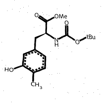 COC(=O)[C@H](Cc1ccc(C)c(O)c1)NC(=O)OC(C)(C)C